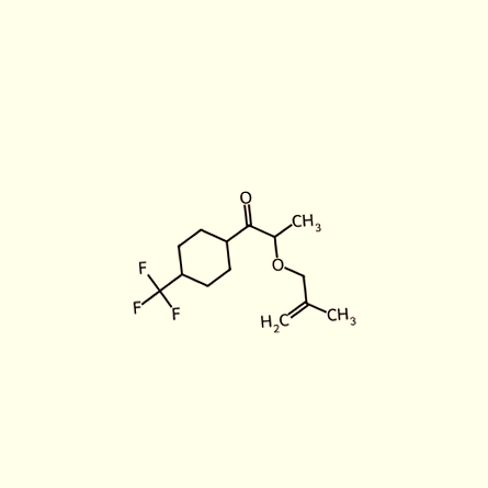 C=C(C)COC(C)C(=O)C1CCC(C(F)(F)F)CC1